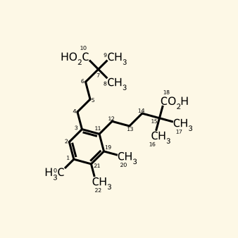 Cc1cc(CCCC(C)(C)C(=O)O)c(CCCC(C)(C)C(=O)O)c(C)c1C